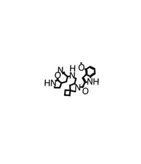 COc1cccc2[nH]c(C(=O)N3CC4(CCC4)CC3CNC(C#N)CC3CCNC3=O)cc12